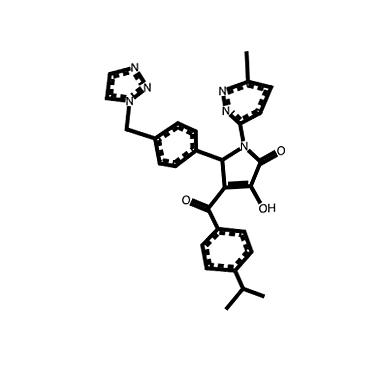 Cc1ccc(N2C(=O)C(O)=C(C(=O)c3ccc(C(C)C)cc3)C2c2ccc(Cn3ccnn3)cc2)nn1